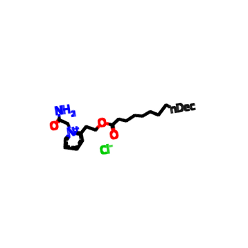 CCCCCCCCCCCCCCCCCC(=O)OCCc1cccc[n+]1CC(N)=O.[Cl-]